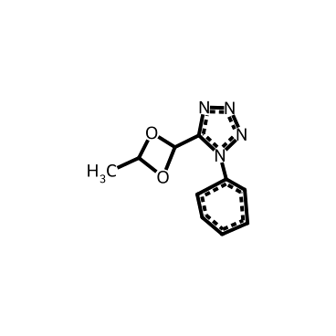 CC1OC(c2nnnn2-c2ccccc2)O1